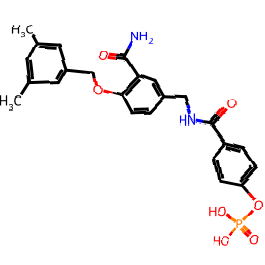 Cc1cc(C)cc(COc2ccc(CNC(=O)c3ccc(OP(=O)(O)O)cc3)cc2C(N)=O)c1